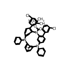 CC(C)(C)OC(=O)N1c2cc(ccc2-c2cccc(Cl)c2)N(c2ccccc2)c2cccc(c2Cl)N(c2ccccc2)c2ccc(-c3cccc(Cl)c3)c1c2